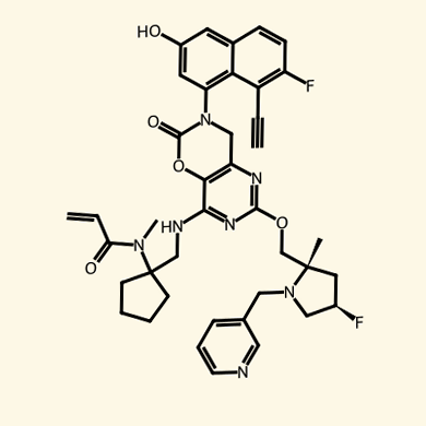 C#Cc1c(F)ccc2cc(O)cc(N3Cc4nc(OC[C@]5(C)C[C@@H](F)CN5Cc5cccnc5)nc(NCC5(N(C)C(=O)C=C)CCCC5)c4OC3=O)c12